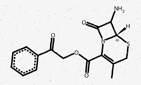 CC1=C(C(=O)OCC(=O)c2ccccc2)N2C(=O)C(N)[C@@H]2SC1